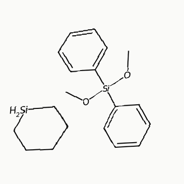 C1CC[SiH2]CC1.CO[Si](OC)(c1ccccc1)c1ccccc1